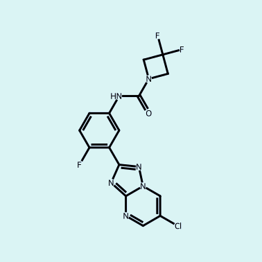 O=C(Nc1ccc(F)c(-c2nc3ncc(Cl)cn3n2)c1)N1CC(F)(F)C1